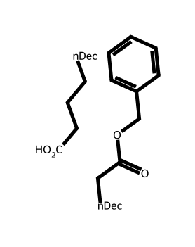 CCCCCCCCCCCC(=O)OCc1ccccc1.CCCCCCCCCCCCCC(=O)O